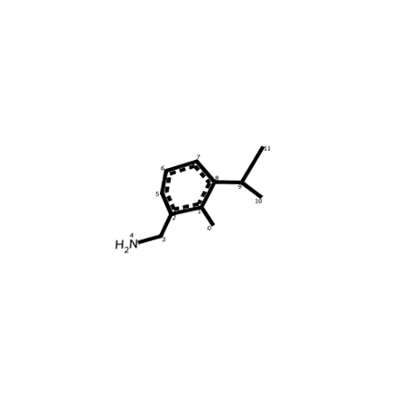 Cc1c(CN)cccc1C(C)C